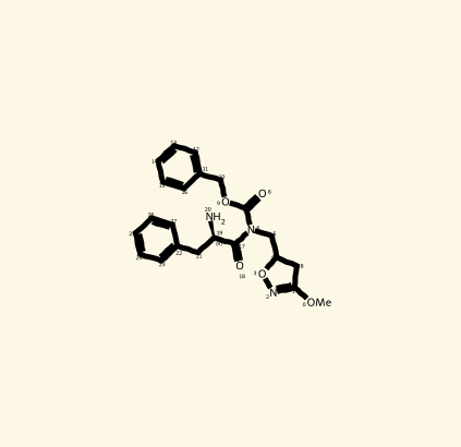 COC1=NOC(CN(C(=O)OCc2ccccc2)C(=O)[C@H](N)Cc2ccccc2)C1